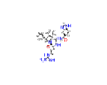 N=C(N)NCCC[C@@H]1N[C@H](CNC(=O)C2=CC3N=CNC3C=C2)CCN(CC(c2ccccc2)c2ccccc2)C1=O